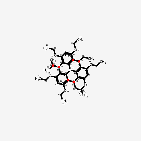 CCOc1cc(OCC)c(OCC)c(P(c2c(OCC)c(OCC)cc(OCC)c2OCC)c2c(OCC)c(OCC)cc(OCC)c2OCC)c1OCC